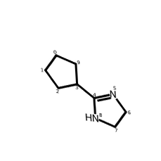 C1CCC(C2=NCCN2)C1